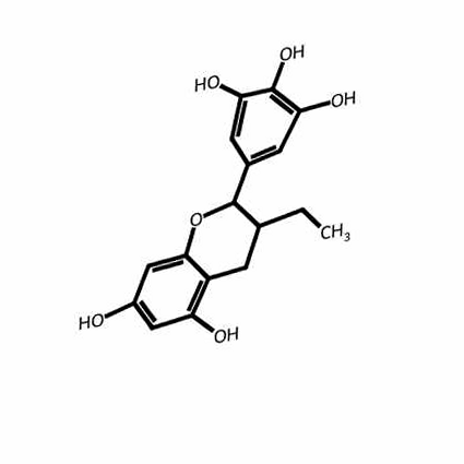 CCC1Cc2c(O)cc(O)cc2OC1c1cc(O)c(O)c(O)c1